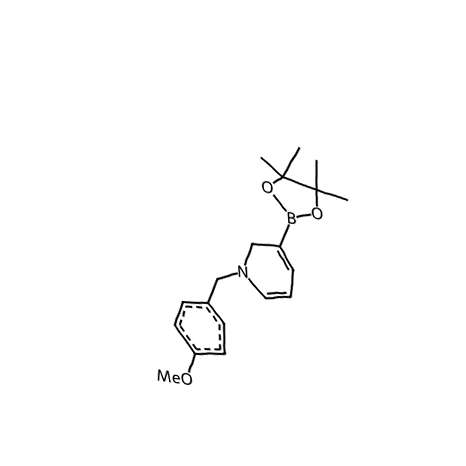 COc1ccc(CN2C=CC=C(B3OC(C)(C)C(C)(C)O3)C2)cc1